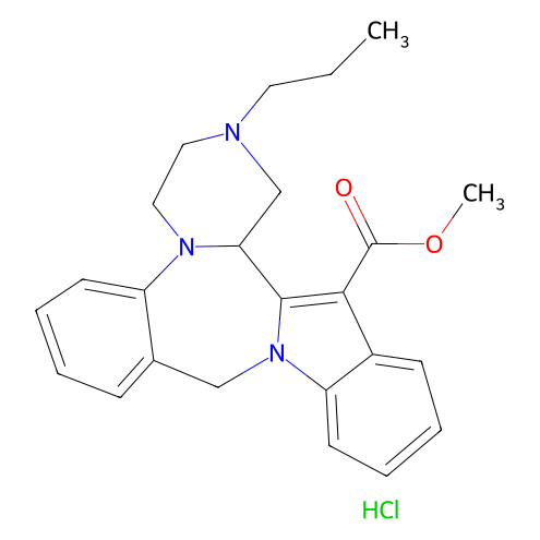 CCCN1CCN2c3ccccc3Cn3c(c(C(=O)OC)c4ccccc43)C2C1.Cl